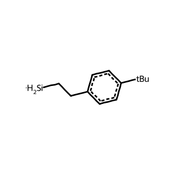 CC(C)(C)c1ccc(CC[SiH2])cc1